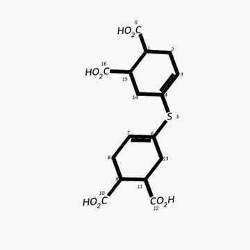 O=C(O)C1CC=C(SC2=CCC(C(=O)O)C(C(=O)O)C2)CC1C(=O)O